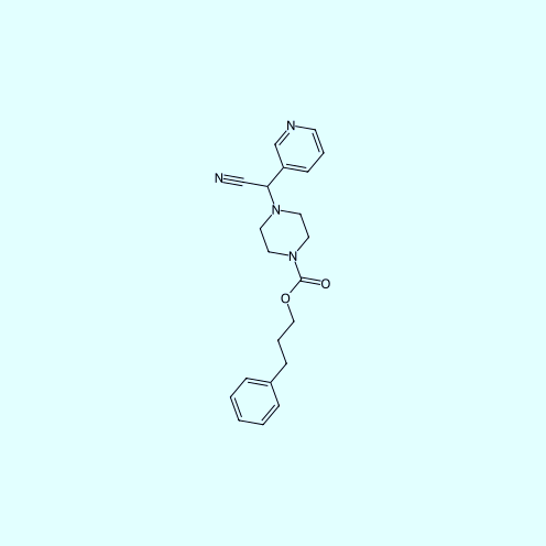 N#CC(c1cccnc1)N1CCN(C(=O)OCCCc2ccccc2)CC1